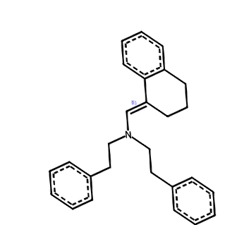 C(=C1/CCCc2ccccc21)/N(CCc1ccccc1)CCc1ccccc1